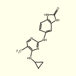 O=c1[nH]c2ccc(Nc3ncc(C(F)(F)F)c(NC4CC4)n3)cc2[nH]1